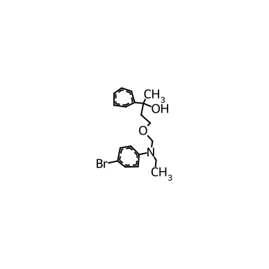 CCN(COCCC(C)(O)c1ccccc1)c1ccc(Br)cc1